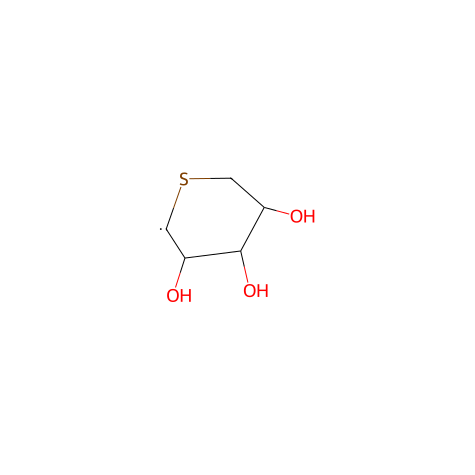 OC1[CH]SCC(O)C1O